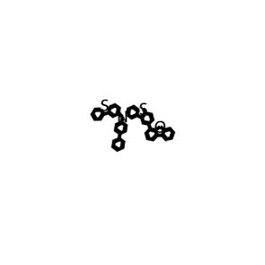 c1ccc(-c2ccc(N(c3ccc4sc5ccccc5c4c3)c3ccc4sc5ccc(-c6cccc7c6oc6ccccc67)cc5c4c3)cc2)cc1